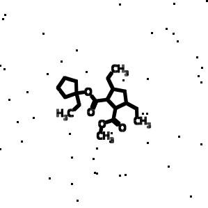 CCC1CC(CC)C(C(=O)OC2(CC)CCCC2)C1C(=O)OC